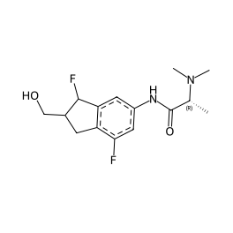 C[C@H](C(=O)Nc1cc(F)c2c(c1)C(F)C(CO)C2)N(C)C